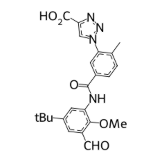 COc1c(C=O)cc(C(C)(C)C)cc1NC(=O)c1ccc(C)c(-n2cc(C(=O)O)nn2)c1